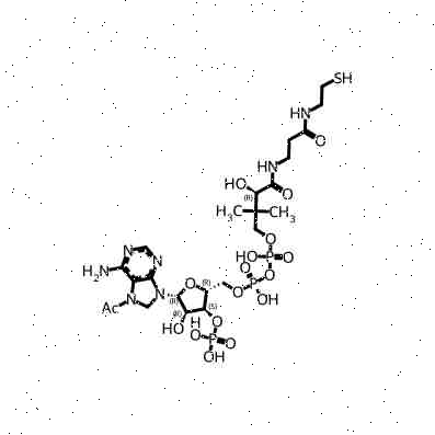 CC(=O)N1CN([C@@H]2O[C@H](COP(=O)(O)OP(=O)(O)OCC(C)(C)[C@@H](O)C(=O)NCCC(=O)NCCS)[C@@H](OP(=O)(O)O)[C@H]2O)c2ncnc(N)c21